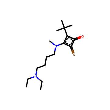 CCN(CC)CCCCN(C)c1c(C(C)(C)C)c(=O)c1=S